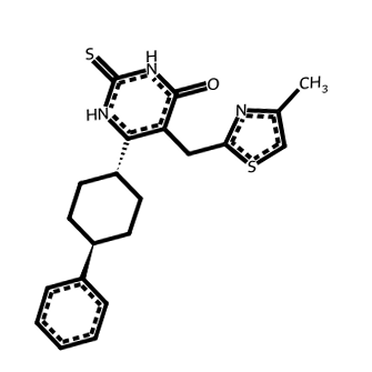 Cc1csc(Cc2c(=O)[nH]c(=S)[nH]c2[C@H]2CC[C@H](c3ccccc3)CC2)n1